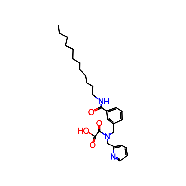 CCCCCCCCCCCCNC(=O)c1cccc(CN(Cc2ccccn2)C(=O)C(=O)O)c1